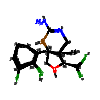 NC1=NC[C@H]2[C@@H](C(F)F)OC[C@]2(c2cccc(F)c2F)S1